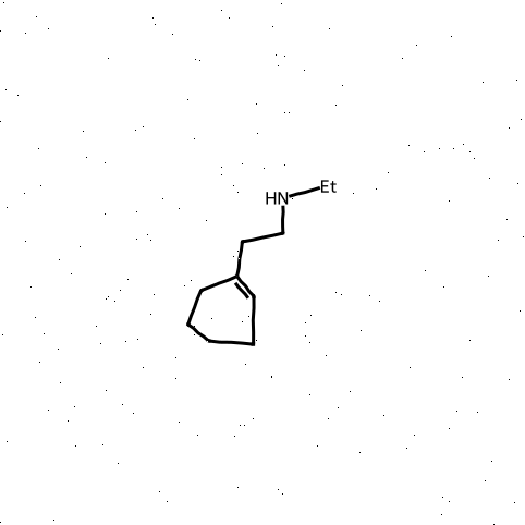 CCNCCC1=CCCCC1